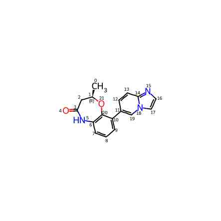 C[C@@H]1CC(=O)Nc2cccc(-c3ccc4nccn4c3)c2O1